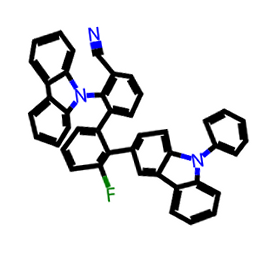 N#Cc1cccc(-c2cccc(F)c2-c2ccc3c(c2)c2ccccc2n3-c2ccccc2)c1-n1c2ccccc2c2ccccc21